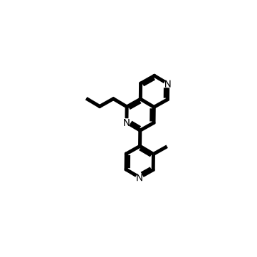 CCCc1nc(-c2ccncc2C)cc2cnccc12